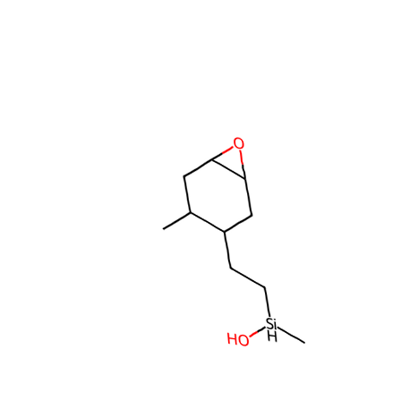 CC1CC2OC2CC1CC[SiH](C)O